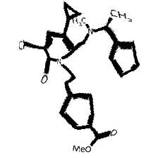 COC(=O)c1ccc(CCn2c(CN(C)[C@@H](C)c3ccccc3)c(C3CC3)cc(Cl)c2=O)cc1